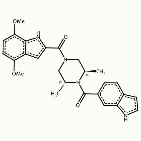 COc1ccc(OC)c2[nH]c(C(=O)N3C[C@@H](C)N(C(=O)c4ccc5cc[nH]c5c4)[C@H](C)C3)cc12